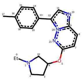 CCN1CCC(Oc2ccc3ncc(-c4ccc(C)cc4)n3n2)C1